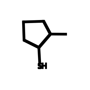 CC1CCCC1S